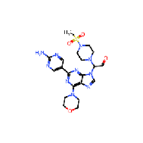 CS(=O)(=O)N1CCN(C(C=O)n2cnc3c(N4CCOCC4)nc(-c4cnc(N)nc4)nc32)CC1